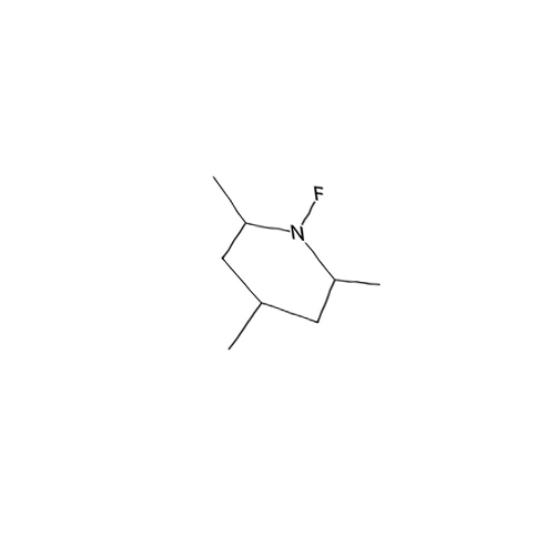 CC1CC(C)N(F)C(C)C1